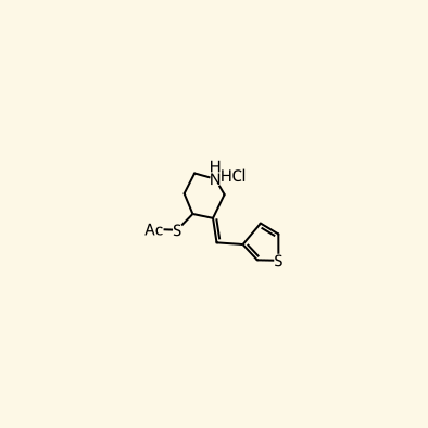 CC(=O)SC1CCNC/C1=C\c1ccsc1.Cl